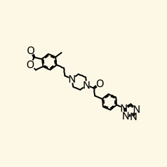 Cc1cc2c(cc1CCN1CCN(C(=O)Cc3ccc(-n4cnnn4)cc3)CC1)COC2=O